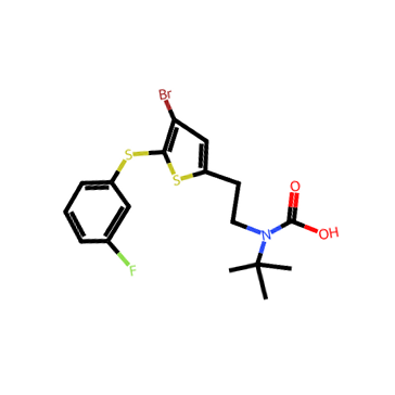 CC(C)(C)N(CCc1cc(Br)c(Sc2cccc(F)c2)s1)C(=O)O